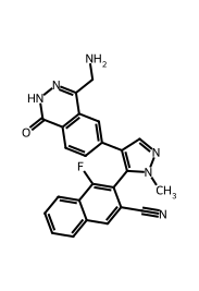 Cn1ncc(-c2ccc3c(=O)[nH]nc(CN)c3c2)c1-c1c(C#N)cc2ccccc2c1F